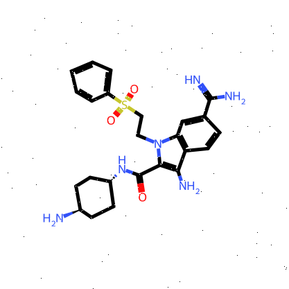 N=C(N)c1ccc2c(N)c(C(=O)N[C@H]3CC[C@H](N)CC3)n(CCS(=O)(=O)c3ccccc3)c2c1